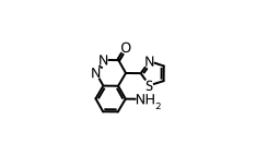 Nc1cccc2c1C(c1nccs1)C(=O)N=N2